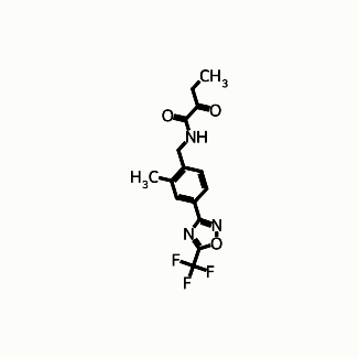 CCC(=O)C(=O)NCc1ccc(-c2noc(C(F)(F)F)n2)cc1C